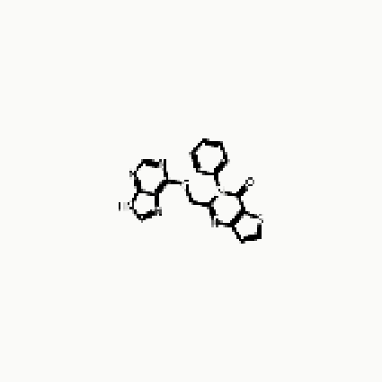 O=c1c2sccc2nc(CSc2ncnc3[nH]cnc23)n1-c1ccccc1